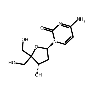 Nc1ccn([C@H]2C[C@H](O)C(CO)(CO)O2)c(=O)n1